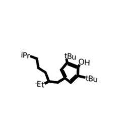 C[CH]C(CCCC(C)C)Cc1cc(C(C)(C)C)c(O)c(C(C)(C)C)c1